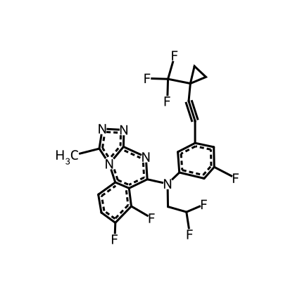 Cc1nnc2nc(N(CC(F)F)c3cc(F)cc(C#CC4(C(F)(F)F)CC4)c3)c3c(F)c(F)ccc3n12